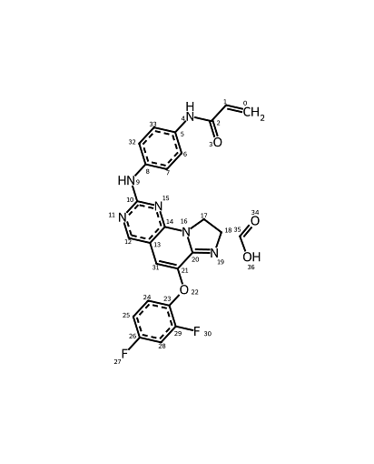 C=CC(=O)Nc1ccc(Nc2ncc3c(n2)N2CCN=C2C(Oc2ccc(F)cc2F)=C3)cc1.O=CO